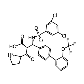 O=C(O)[C@H](C(=O)C1CCCN1)[C@@H](NS(=O)(=O)c1cc(Cl)cc(Cl)c1)c1ccc(-c2ccccc2OC(F)(F)F)cc1